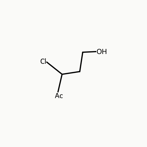 CC(=O)C(Cl)CCO